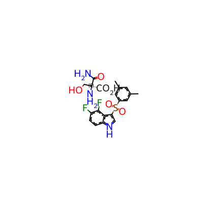 Cc1cc(C)cc(S(=O)(=O)c2c[nH]c3ccc(F)c(F)c23)c1.NC(=O)[C@@](N)(CO)C(=O)O